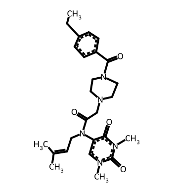 CCc1ccc(C(=O)N2CCN(CC(=O)N(CC=C(C)C)c3cn(C)c(=O)n(C)c3=O)CC2)cc1